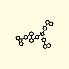 c1ccc(-c2ccccc2-c2ccc(-n3c4ccccc4c4ccccc43)cc2)c(-c2ccc(-n3nc(-c4ccc(-c5cccc6ccccc56)cc4)nc3-c3ccc(-c4cccc5ccccc45)cc3)cc2)c1